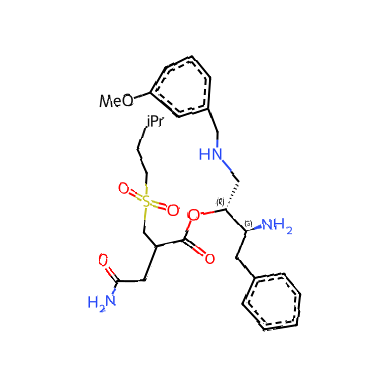 COc1cccc(CNC[C@@H](OC(=O)C(CC(N)=O)CS(=O)(=O)CCC(C)C)[C@@H](N)Cc2ccccc2)c1